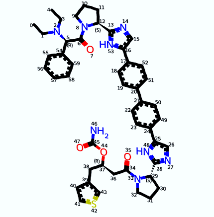 CCN(CC)[C@@H](C(=O)N1CCC[C@H]1c1ncc(-c2ccc(-c3ccc(-c4cnc([C@@H]5CCCN5C(=O)C[C@@H](Cc5ccsc5)OC(N)=O)[nH]4)cc3)cc2)[nH]1)c1ccccc1